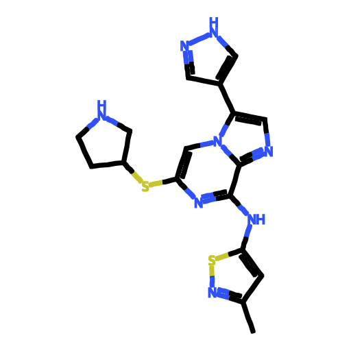 Cc1cc(Nc2nc(SC3CCNC3)cn3c(-c4cn[nH]c4)cnc23)sn1